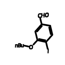 CCCCOc1cc(C=O)ccc1I